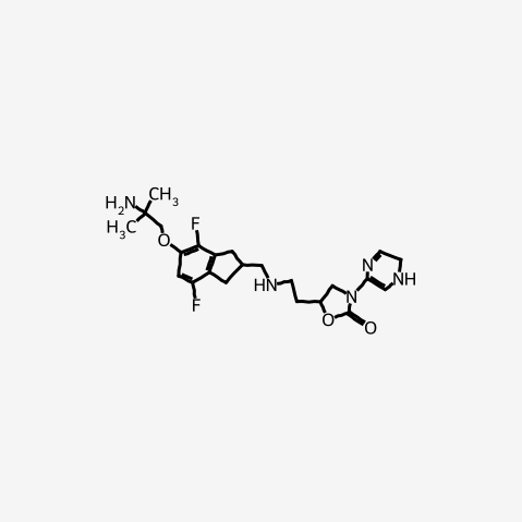 CC(C)(N)COc1cc(F)c2c(c1F)CC(CNCCC1CN(C3=CNCC=N3)C(=O)O1)C2